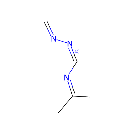 C=N/N=C\N=C(C)C